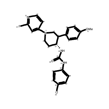 COc1ccc(C2CN(c3ccnc(F)c3)CC[C@H]2NC(=O)Nc2ccc(Cl)cc2)cc1